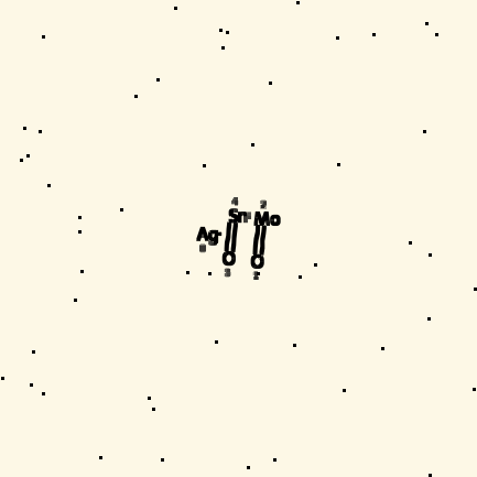 [Ag].[O]=[Mo].[O]=[Sn]